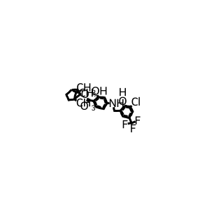 CC1(C)C2CCC1(C)C(OC(=O)c1ccc(NCc3cc(C(F)(F)F)cc(Cl)c3O)cc1O)C2